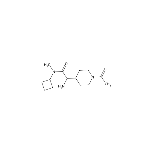 CC(=O)N1CCC(C(N)C(=O)N(C)C2CCC2)CC1